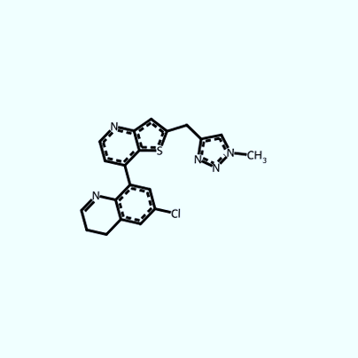 Cn1cc(Cc2cc3nccc(-c4cc(Cl)cc5c4N=CCC5)c3s2)nn1